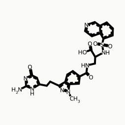 Cn1nc(CCc2cc(=O)nc(N)[nH]2)c2ccc(C(=O)NCC(NS(=O)(=O)c3cccc4cnccc34)C(=O)O)cc21